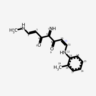 CNC=CC(=O)C(=N)C(=O)/C=C\Nc1ccccc1C